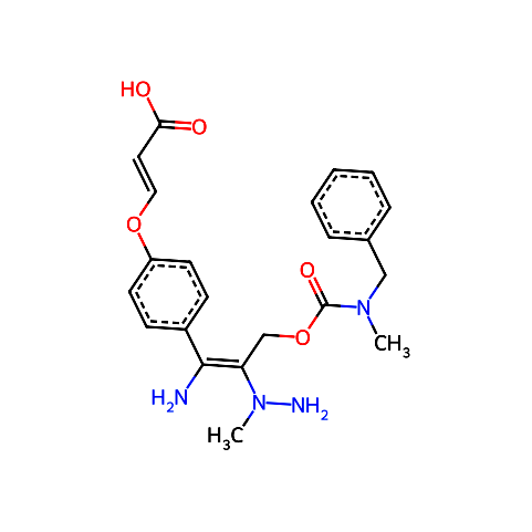 CN(Cc1ccccc1)C(=O)OC/C(=C(/N)c1ccc(O/C=C/C(=O)O)cc1)N(C)N